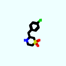 O=S1(=O)CCNC(Cc2ccc(Cl)cc2)C1